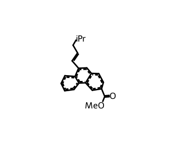 COC(=O)c1ccc2cc(/C=C/CC(C)C)c3ccccc3c2c1